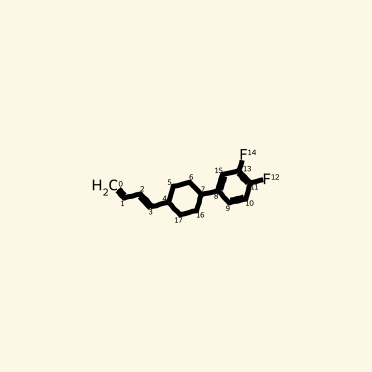 C=CC=CC1CCC(c2ccc(F)c(F)c2)CC1